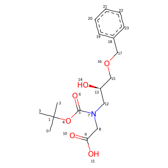 CC(C)(C)OC(=O)N(CC(=O)O)C[C@@H](O)COCc1ccccc1